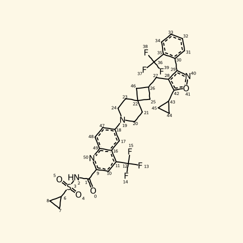 O=C(NS(=O)(=O)C1CC1)c1cc(C(F)(F)F)c2cc(N3CCC4(CC3)CC(Cc3c(-c5ccccc5C(F)(F)F)noc3C3CC3)C4)ccc2n1